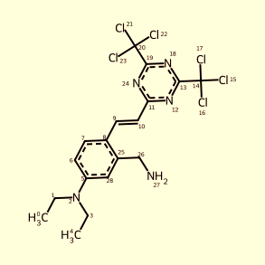 CCN(CC)c1ccc(C=Cc2nc(C(Cl)(Cl)Cl)nc(C(Cl)(Cl)Cl)n2)c(CN)c1